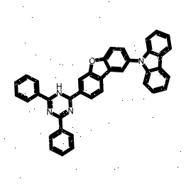 c1ccc(C2=NC(c3ccc4c(c3)oc3ccc(-n5c6ccccc6c6ccccc65)cc34)NC(c3ccccc3)=N2)cc1